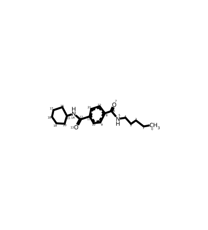 CCCCCNC(=O)c1ccc(C(=O)NC2CCCCC2)cc1